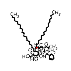 CCCCCCCCCCCCCCCCCCN(C(=O)CCCCCCCCCCCCCCCCC)[C@@H]1O[C@H](CO)[C@@H](O)[C@H](O)[C@H]1NC(=O)[C@H](C)N(C(=O)OCc1ccccc1)C(=O)[C@@H](C)N